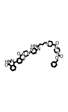 O=C(OCc1ccccc1)N1CCN(C(=O)C2CCN(CCCc3nc4ccc(N5CCN(C(=O)c6cc(-c7n[nH]c(=O)c8ccccc78)ccc6F)CC5)nc4[nH]3)CC2)CC1